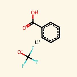 O=C(O)c1ccccc1.[Li+].[O-]C(F)(F)F